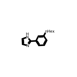 CCCCCCc1cccc(-c2ncc[nH]2)c1